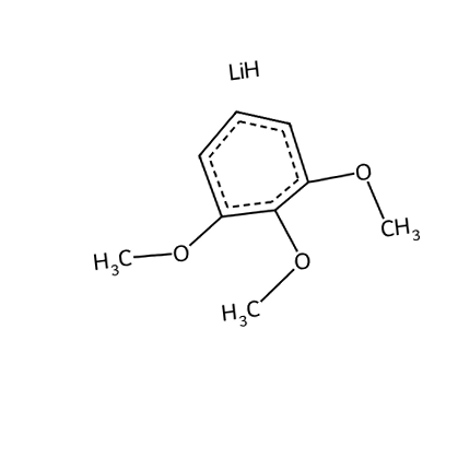 COc1cccc(OC)c1OC.[LiH]